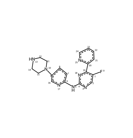 Fc1cnc(Nc2ccc(N3CCNCC3)cn2)nc1-c1ccccn1